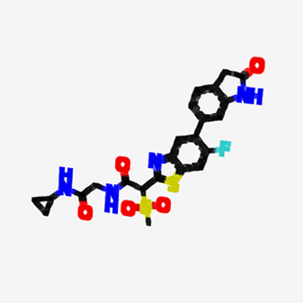 CS(=O)(=O)C(C(=O)NCC(=O)NC1CC1)c1nc2cc(-c3ccc4c(c3)NC(=O)C4)c(F)cc2s1